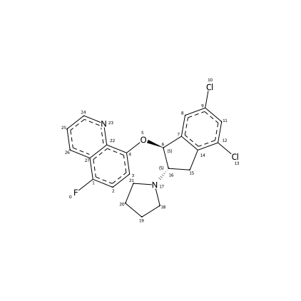 Fc1ccc(O[C@H]2c3cc(Cl)cc(Cl)c3C[C@@H]2N2CCCC2)c2ncccc12